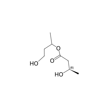 CC(CCO)OC(=O)C[C@@H](C)O